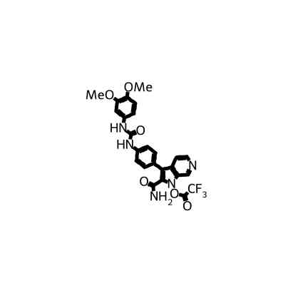 COc1ccc(NC(=O)Nc2ccc(-c3c(C(N)=O)n(OC(=O)C(F)(F)F)c4cnccc34)cc2)cc1OC